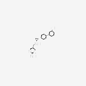 Nc1ncc(CN[C@H]2C[C@@H]2c2ccc(-c3cccc(O)c3)cc2)cn1